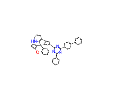 C1=CC2=C(NC1)C1(c3ccccc3Oc3ccccc31)c1cc(-c3nc(-c4ccccc4)nc(-c4ccc(-c5ccccc5)cc4)n3)ccc12